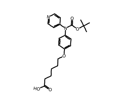 CC(C)(C)OC(=O)N(c1ccncc1)c1ccc(OCCCCCC(=O)O)cc1